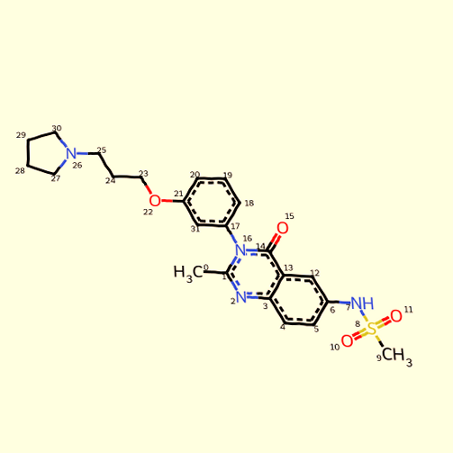 Cc1nc2ccc(NS(C)(=O)=O)cc2c(=O)n1-c1cccc(OCCCN2CCCC2)c1